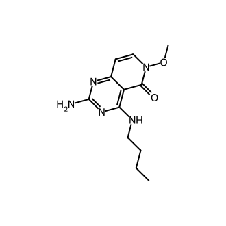 CCCCNc1nc(N)nc2ccn(OC)c(=O)c12